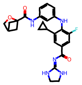 O=C(N=C1NCCN1)c1cc(F)c(Nc2cccc(NC(=O)C34CC(CO3)C4)c2)c(C2CC2)c1